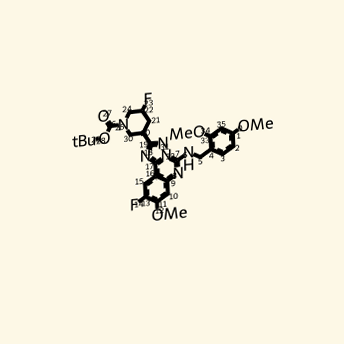 COc1ccc(CNc2nc3cc(OC)c(F)cc3c3nc(C4CC(F)CN(C(=O)OC(C)(C)C)C4)nn23)c(OC)c1